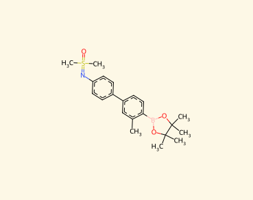 Cc1cc(-c2ccc(N=S(C)(C)=O)cc2)ccc1B1OC(C)(C)C(C)(C)O1